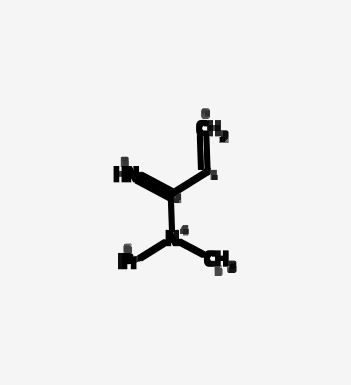 C=CC(=N)N(C)C(C)C